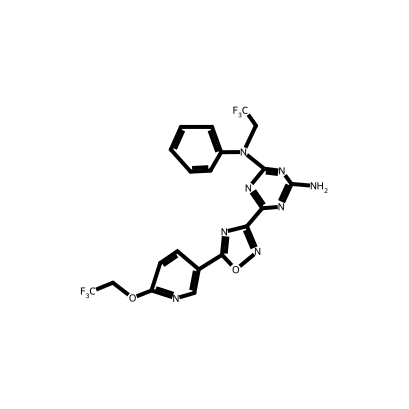 Nc1nc(-c2noc(-c3ccc(OCC(F)(F)F)nc3)n2)nc(N(CC(F)(F)F)c2ccccc2)n1